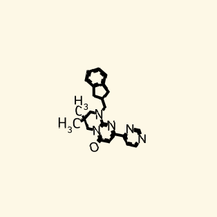 CC1(C)CN(CC2Cc3ccccc3C2)c2nc(-c3ccncn3)cc(=O)n2C1